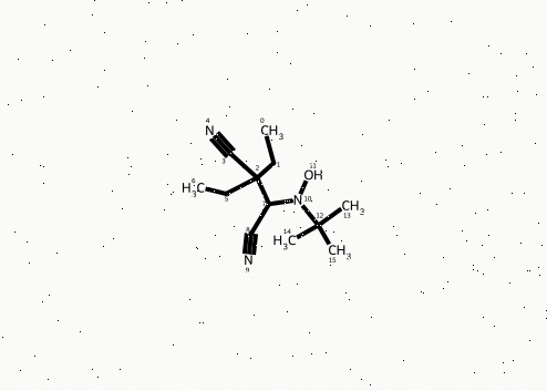 CCC(C#N)(CC)C(C#N)N(O)C(C)(C)C